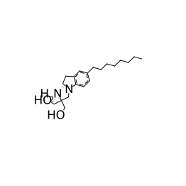 CCCCCCCCc1ccc2c(c1)CCN2CC(N)(CO)CO